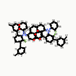 Cc1cccc(-c2ccc(-c3cccc(C)c3)c(N(c3ccccc3)c3ccc4ccc5c(N(c6ccccc6)c6c(-c7cccc(C)c7)ccc(-c7cccc(C)c7)c6F)ccc6ccc3c4c65)c2F)c1